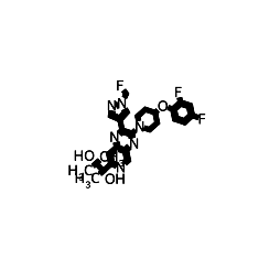 CC(C)(O)C(C)(O)c1cc2nc(-c3cnn(CF)c3)c(N3CCC(Oc4ccc(F)cc4F)CC3)nc2cn1